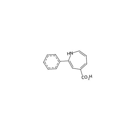 O=C(O)C1=CC=CNC(c2ccccc2)=C1